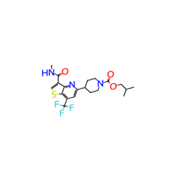 CNC(=O)c1csc2c(C(F)(F)F)cc(C3CCN(C(=O)OCC(C)C)CC3)nc12